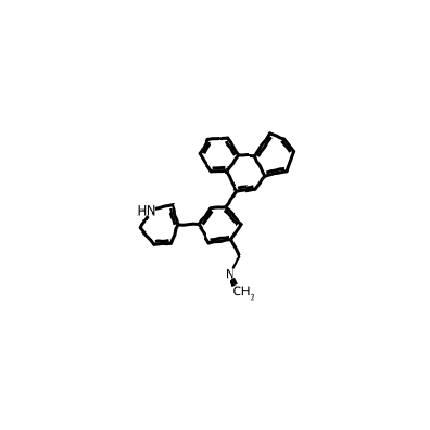 C=NCc1cc(C2=CNCC=C2)cc(-c2cc3ccccc3c3ccccc23)c1